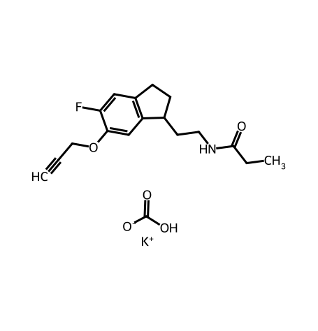 C#CCOc1cc2c(cc1F)CCC2CCNC(=O)CC.O=C([O-])O.[K+]